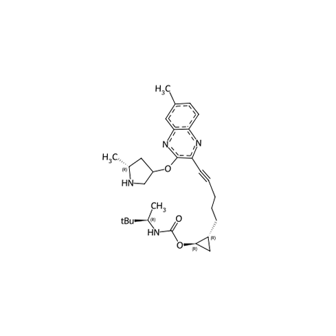 Cc1ccc2nc(C#CCCC[C@@H]3C[C@H]3OC(=O)N[C@H](C)C(C)(C)C)c(OC3CN[C@H](C)C3)nc2c1